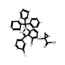 O=C(O)C1(Nc2ccc3c(c(-c4cccc(F)c4)nn3C(c3ccccc3)(c3ccccc3)c3ccccc3)c2Br)CC1